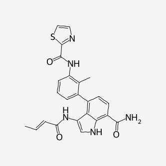 C/C=C/C(=O)Nc1c[nH]c2c(C(N)=O)ccc(-c3cccc(NC(=O)c4nccs4)c3C)c12